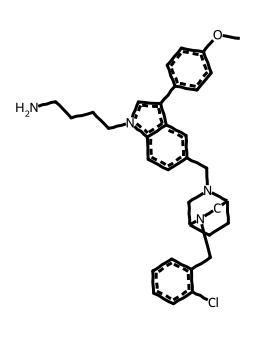 COc1ccc(-c2cn(CCCCN)c3ccc(CN4CC5CCC4CN5Cc4ccccc4Cl)cc23)cc1